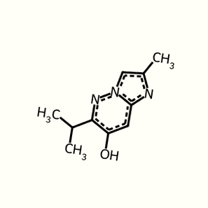 Cc1cn2nc(C(C)C)c(O)cc2n1